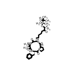 C[C@@H](O[Si](C)(C)C(C)(C)C)C(=O)CCCCC[C@@H]1NC(=O)[C@H]2CCCN2C(=O)[C@H](Cc2ccccc2)NC(=O)C(C)(C)NC1=O